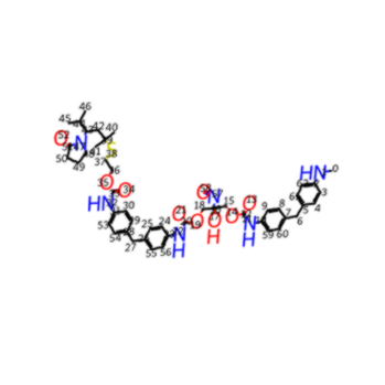 CNc1ccc(Cc2ccc(NC(=O)OCC(O)(COC(=O)Nc3ccc(Cc4ccc(NC(=O)OCCSC(C)(C)CC(C(C)C)N5CCCC5=O)cc4)cc3)N=O)cc2)cc1